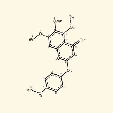 COc1c(OC(C)C)cc2oc(Oc3ccc(OC(C)C)cc3)cc(=O)c2c1OC(C)C